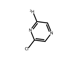 [2H]c1cncc(Cl)n1